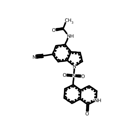 CC(=O)Nc1cc(C#N)cc2c1ccn2S(=O)(=O)c1cccc2c(=O)[nH]ccc12